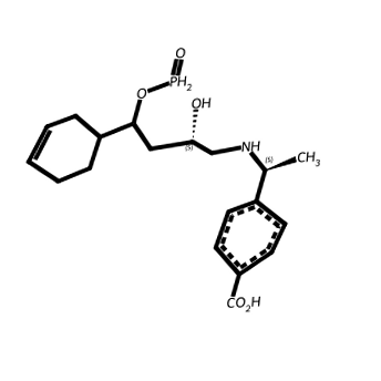 C[C@H](NC[C@@H](O)CC(O[PH2]=O)C1CC=CCC1)c1ccc(C(=O)O)cc1